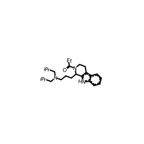 CCC(=O)N1CCc2c([nH]c3ccccc23)C1CCCN(CC(C)C)CC(C)C